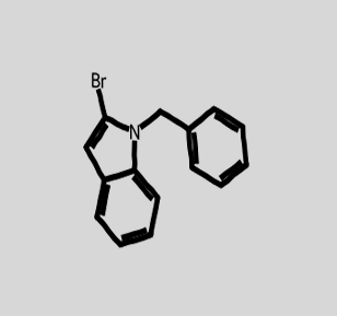 Brc1cc2ccccc2n1Cc1ccccc1